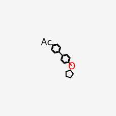 CC(=O)c1ccc(-c2ccc(OC3CCCC3)cc2)cc1